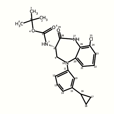 CC(C)(C)OC(=O)N[C@H]1CN(c2cccc(C3CC3)c2)c2cccc(Cl)c2NC1=O